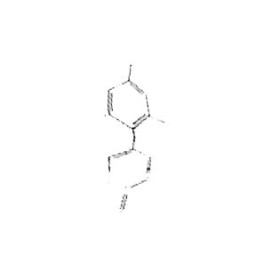 C=N/N=C\C(=C/C)c1ccc(Cl)cc1CC